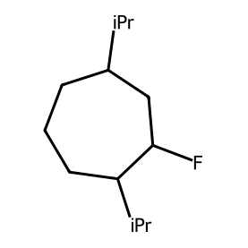 CC(C)C1CCCC(C(C)C)C(F)C1